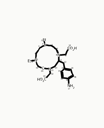 CCN1CCN(CC)CCN(CC(=O)O)C(Cc2ccc(N)cc2)CN(CC(=O)O)CC1